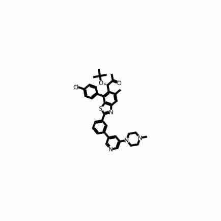 CC(=O)[C@@H](OC(C)(C)C)c1c(C)cc2nc(-c3cccc(-c4cncc(N5CCN(C)CC5)c4)c3)sc2c1-c1ccc(Cl)cc1